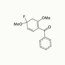 COC1=C(C(=O)c2ccccc2)C=CC(F)(OC)C1